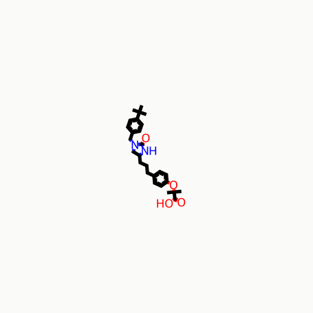 CC(C)(Oc1ccc(CCCC2CN(Cc3ccc(C(C)(C)C)cc3)C(=O)N2)cc1)C(=O)O